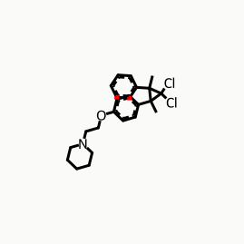 CC1(c2ccccc2)C(Cl)(Cl)C1(C)c1ccc(OCCN2CCCCC2)cc1